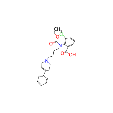 CCOC(=O)N(CCCCN1CC=C(c2ccccc2)CC1)c1c(Cl)cccc1C(=O)O